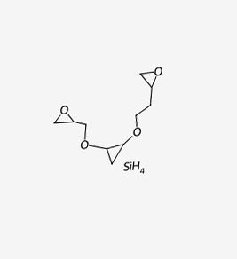 C(CC1CO1)OC1CC1OCC1CO1.[SiH4]